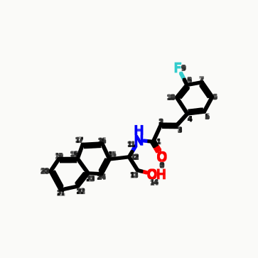 O=C(C=Cc1cccc(F)c1)NC(CO)c1ccc2ccccc2c1